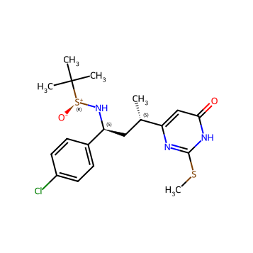 CSc1nc([C@@H](C)C[C@H](N[S@@+]([O-])C(C)(C)C)c2ccc(Cl)cc2)cc(=O)[nH]1